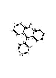 c1ccc2c(-c3ccncc3)c3ccccc3nc2c1